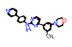 N#Cc1cc(-c2ccnc(Nc3ccc(-c4ccncc4)cc3)n2)cc(N2CCOCC2)c1